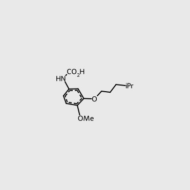 COc1ccc(NC(=O)O)cc1OCCCC(C)C